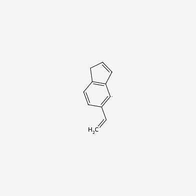 C=Cc1[c]c2c(cc1)CC=C2